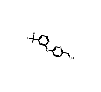 OCc1ccc(Oc2cccc(C(F)(F)F)c2)cn1